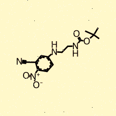 CC(C)(C)OC(=O)NCCNc1ccc([N+](=O)[O-])c(C#N)c1